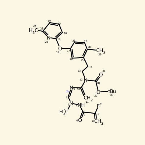 C=C(F)C(=O)NN(C)/C=N\C(=C)N(CCc1cc(Oc2cccc(C)n2)ccc1C)C(=O)OC(C)(C)C